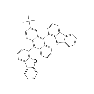 CC(C)(C)c1ccc2c(-c3cccc4c3oc3ccccc34)c3ccccc3c(-c3cccc4c3sc3ccccc34)c2c1